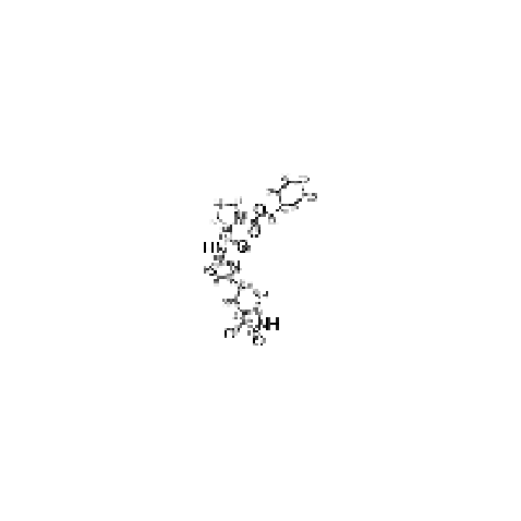 O=C1Nc2ccc(-c3csc(NC(=O)C4CCCN4C(=O)OCc4ccccc4)n3)cc2C1=O